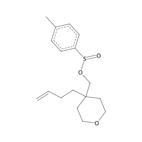 C=CCCC1(COS(=O)c2ccc(C)cc2)CCOCC1